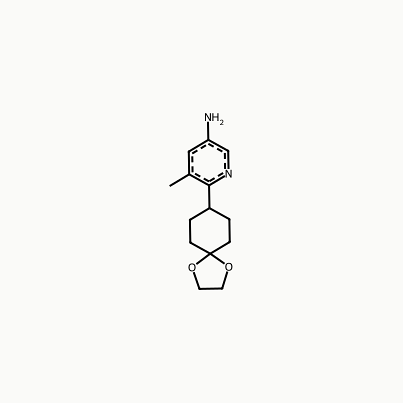 Cc1cc(N)cnc1C1CCC2(CC1)OCCO2